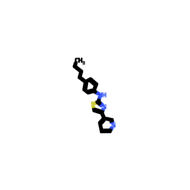 CCCCc1ccc(Nc2nc(-c3cccnc3)cs2)cc1